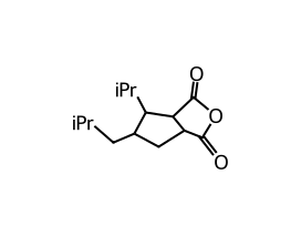 CC(C)CC1CC2C(=O)OC(=O)C2C1C(C)C